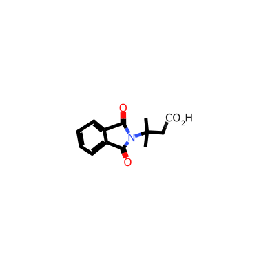 CC(C)(CC(=O)O)N1C(=O)c2ccccc2C1=O